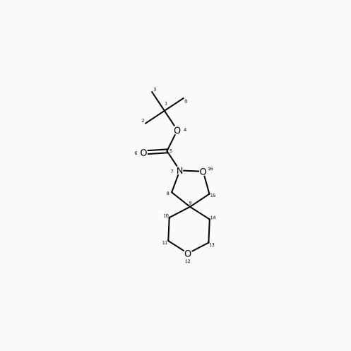 CC(C)(C)OC(=O)N1CC2(CCOCC2)CO1